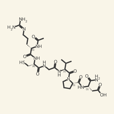 CC(=O)N[C@@H](CCCN=C(N)N)C(=O)N[C@@H](CS)C(=O)NCC(=O)N[C@H](C(=O)N1CCC[C@H]1C(=O)N[C@@H](CC(=O)O)C(N)=O)C(C)C